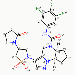 O=C1CCCN1C1CN(c2cnn3c2CN(C(=O)Nc2cc(F)c(F)c(F)c2)[C@H]2CCC[C@H]23)S(=O)(=O)C1